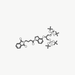 CC(C)(C)OP(=O)(OCC(COP(=O)(OC(C)(C)C)OC(C)(C)C)Oc1cccc2c1CCN2C(=O)CCCN1C(=O)c2ccccc2C1=O)OC(C)(C)C